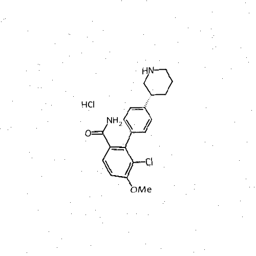 COc1ccc(C(N)=O)c(-c2ccc([C@H]3CCCNC3)cc2)c1Cl.Cl